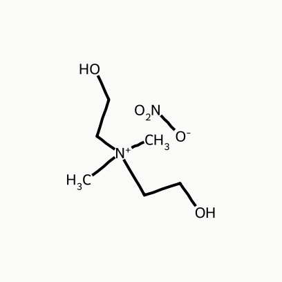 C[N+](C)(CCO)CCO.O=[N+]([O-])[O-]